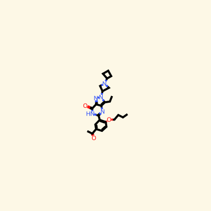 CCCCOc1ccc(C(C)=O)cc1-c1nc2c(CC)n(C3CN(C4CCC4)C3)nc2c(=O)[nH]1